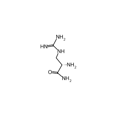 N=C(N)NC[C@H](N)C(N)=O